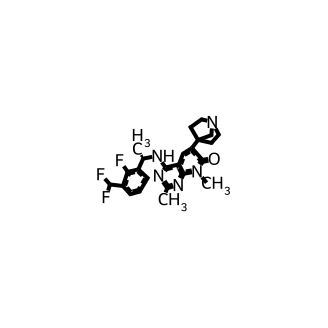 Cc1nc(N[C@H](C)c2cccc(C(F)F)c2F)c2cc(C34CCN(CC3)C4)c(=O)n(C)c2n1